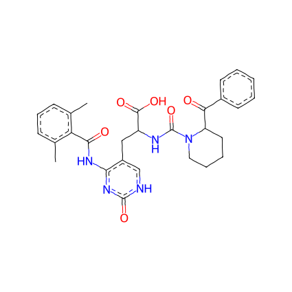 Cc1cccc(C)c1C(=O)Nc1nc(=O)[nH]cc1CC(NC(=O)N1CCCCC1C(=O)c1ccccc1)C(=O)O